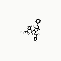 CN(C(=O)[C@H](CC(C)(C)CCc1ccccc1)NC(=O)c1ccsc1)C1C(=O)COC1C(N)=O